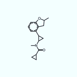 CC1Cc2c(cccc2C2CC2N(C)C(=O)C2CC2)O1